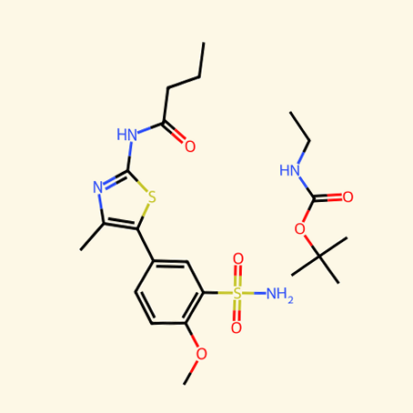 CCCC(=O)Nc1nc(C)c(-c2ccc(OC)c(S(N)(=O)=O)c2)s1.CCNC(=O)OC(C)(C)C